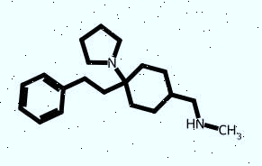 CNCC1CCC(CCc2ccccc2)(N2CCCC2)CC1